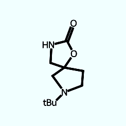 CC(C)(C)N1CCC2(CNC(=O)O2)C1